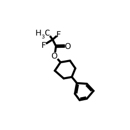 CC(F)(F)C(=O)OC1CCC(c2ccccc2)CC1